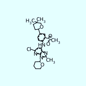 Cc1nc2c(Nc3ccc(C4CCC(C)(C)CO4)cc3S(C)(=O)=O)cc(Cl)nc2n1C1CCCCO1